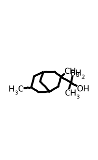 BC(C)(O)C1(C)CC2CC(C)CC(C2)C1